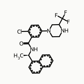 C[C@@H](NC(=O)c1cc(N2CCNC(C(F)(F)F)C2)ccc1Cl)c1cccc2ccccc12